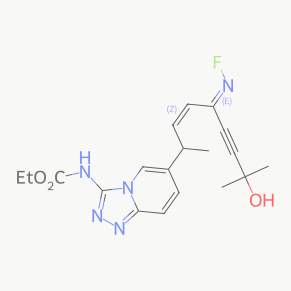 CCOC(=O)Nc1nnc2ccc(C(C)/C=C\C(C#CC(C)(C)O)=N/F)cn12